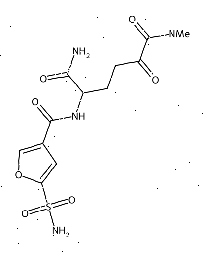 CNC(=O)C(=O)CCC(NC(=O)c1coc(S(N)(=O)=O)c1)C(N)=O